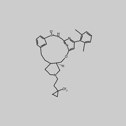 Cc1cccc(C)c1-c1cc2nc(n1)N[S+]([O-])c1cccc(c1)CCC1CCN(CCC3(C(F)(F)F)CC3)C[C@@H]1CO2